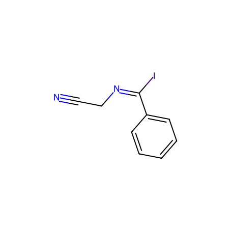 N#CC/N=C(/I)c1ccccc1